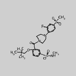 CNS(=O)(=O)c1ccc(OCC(C)(C)C)c(C(=O)N2CCN(c3ccc(S(C)(=O)=O)cc3F)CC2)c1